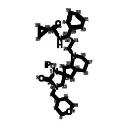 CC(C)N1C(=O)N(CC2CCOCC2)CC12CC1CCCN(CC[C@H](NC(=O)C3CC3)c3ccccc3)C1C2